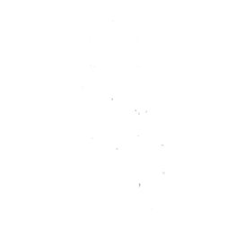 CC1(C)COCCC1c1ccc2cc(C=O)ccc2n1